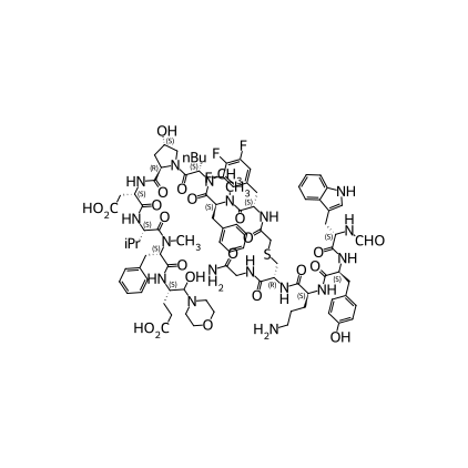 CCCC[C@@H](C(=O)N1C[C@@H](O)C[C@@H]1C(=O)N[C@@H](CC(=O)O)C(=O)N[C@H](C(=O)N(C)[C@@H](Cc1ccccc1)C(=O)N[C@@H](CCC(=O)O)C(O)N1CCOCC1)C(C)C)N(C)C(=O)[C@H](Cc1ccccc1)N(C)C(=O)[C@H](Cc1cc(F)c(F)c(F)c1)NC(=O)CSC[C@H](NC(=O)[C@H](CCCN)NC(=O)[C@H](Cc1ccc(O)cc1)NC(=O)[C@H](Cc1c[nH]c2ccccc12)NC=O)C(=O)NCC(N)=O